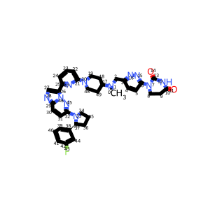 CN(Cc1ccc(N2CCC(=O)NC2=O)nn1)C1CCN(c2cccc(-c3cnc4ccc(N5CCC[C@@H]5c5cccc(F)c5)nn34)n2)CC1